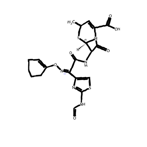 CC1C=C(C(=O)O)N2C(=O)C(NC(=O)/C(=N\OC3=CCCCC3)c3csc(NC=O)n3)[C@H]2S1